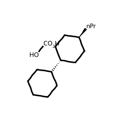 CCC[C@H]1CC[C@H](C2CCCCC2)CC1.O=C(O)O